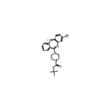 CC(C)(C)OC(=O)N1CCN(C2=Nc3cc(Cl)ccc3Nc3ccccc32)CC1